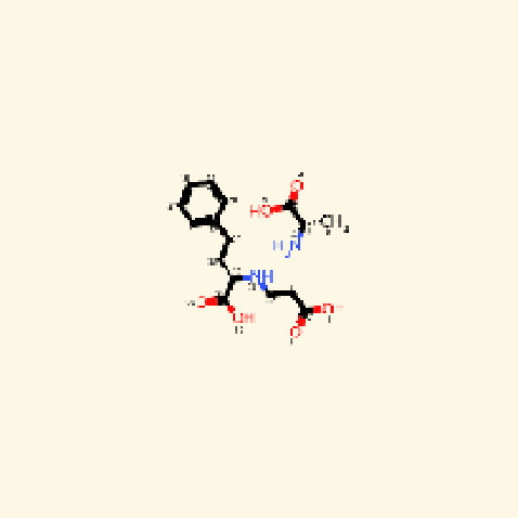 C[C@H](N)C(=O)O.O=C(O)CCN[C@H](CCc1ccccc1)C(=O)O